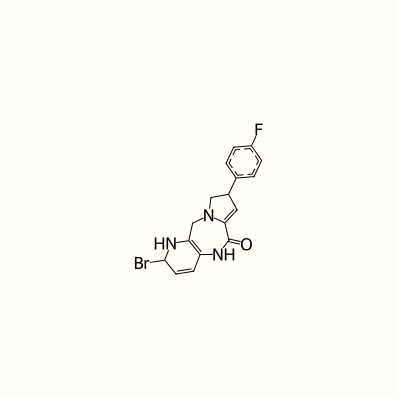 O=C1NC2=C(CN3CC(c4ccc(F)cc4)C=C13)NC(Br)C=C2